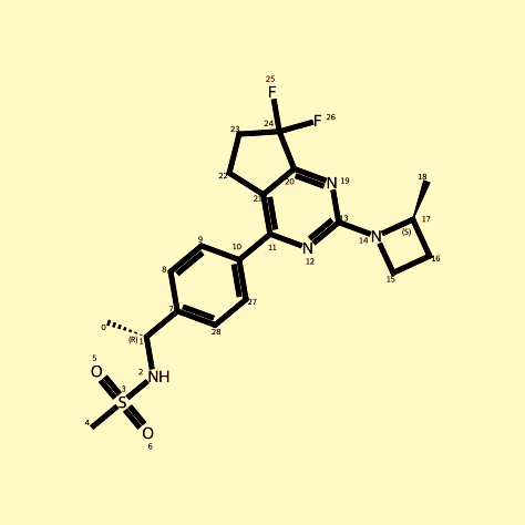 C[C@@H](NS(C)(=O)=O)c1ccc(-c2nc(N3CC[C@@H]3C)nc3c2CCC3(F)F)cc1